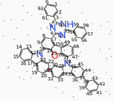 c1ccc(C2=NC(c3ccc(-n4c5ccccc5c5ccccc54)c4oc5c(-n6c7ccccc7c7cc(-c8ccccc8)ccc76)cccc5c34)=NC(c3ccccc3)N2)cc1